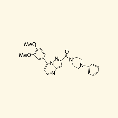 COc1ccc(-c2ccnc3cc(C(=O)N4CCN(c5ccccc5)CC4)nn23)cc1OC